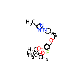 CCc1cnc(N2CCC([C@H]3C[C@H]3COCc3ccc(B4OC(C)(C)C(C)(C)O4)c(F)c3)CC2)nc1